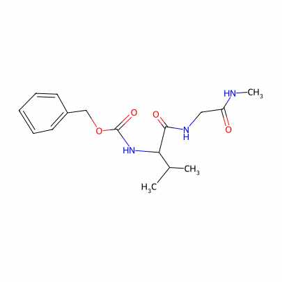 CNC(=O)CNC(=O)C(NC(=O)OCc1ccccc1)C(C)C